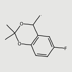 [CH2]C1OC(C)(C)Oc2ccc(F)cc21